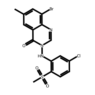 Cc1cc(Br)c2ncn(Nc3cc(Cl)ccc3S(C)(=O)=O)c(=O)c2c1